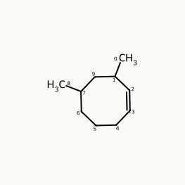 CC1/C=[C]\CCCC(C)C1